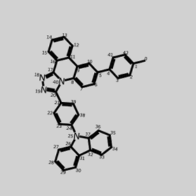 Cc1ccc(-c2ccc3c(c2)c2ccccc2c2nnc(-c4ccc(-n5c6ccccc6c6ccccc65)cc4)n32)cc1